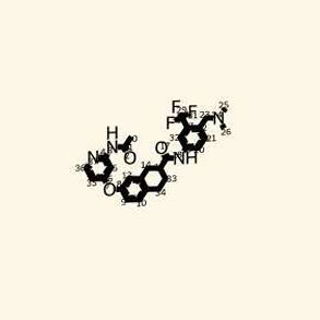 CC(=O)Nc1cc(Oc2ccc3c(c2)CC(C(=O)Nc2ccc(CN(C)C)c(C(F)(F)F)c2)CC3)ccn1